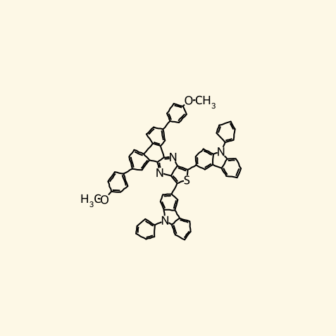 COc1ccc(-c2ccc3c4ccc(-c5ccc(OC)cc5)cc4c4nc5c(-c6ccc7c(c6)c6ccccc6n7-c6ccccc6)sc(-c6ccc7c(c6)c6ccccc6n7-c6ccccc6)c5nc4c3c2)cc1